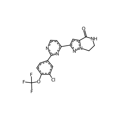 O=C1NCCn2nc(-c3ccnc(-c4ccc(OC(F)(F)F)c(Cl)c4)n3)cc21